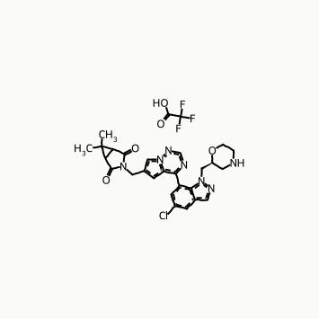 CC1(C)C2C(=O)N(Cc3cc4c(-c5cc(Cl)cc6cnn(C[C@@H]7CNCCO7)c56)ncnn4c3)C(=O)C21.O=C(O)C(F)(F)F